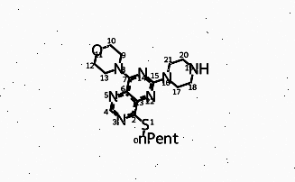 CCCCCSc1ncnc2c(N3CCOCC3)nc(N3CCNCC3)nc12